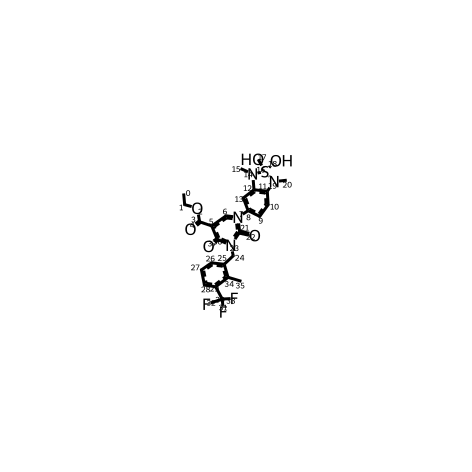 CCOC(=O)c1cn(-c2ccc3c(c2)N(C)S(O)(O)N3C)c(=O)n(Cc2cccc(C(F)(F)F)c2C)c1=O